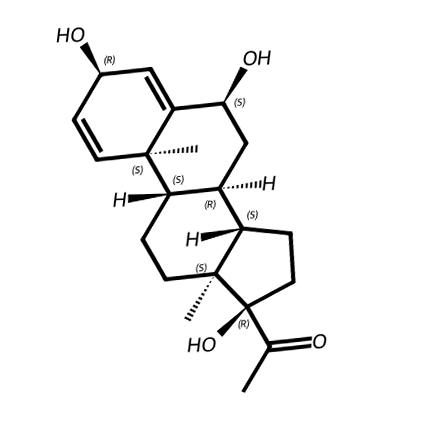 CC(=O)[C@@]1(O)CC[C@H]2[C@@H]3C[C@H](O)C4=C[C@H](O)C=C[C@]4(C)[C@H]3CC[C@@]21C